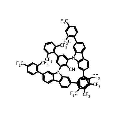 N#Cc1c(-n2c3cc(-c4ccc(C(F)(F)F)cc4C(F)(F)F)ccc3c3ccc(-c4ccc(C(F)(F)F)cc4C(F)(F)F)cc32)cc(-c2c(C(F)(F)F)cccc2C(F)(F)F)cc1-n1c2cc(-c3ccc(C(F)(F)F)cc3C(F)(F)F)ccc2c2ccc(-c3ccc(C(F)(F)F)cc3C(F)(F)F)cc21